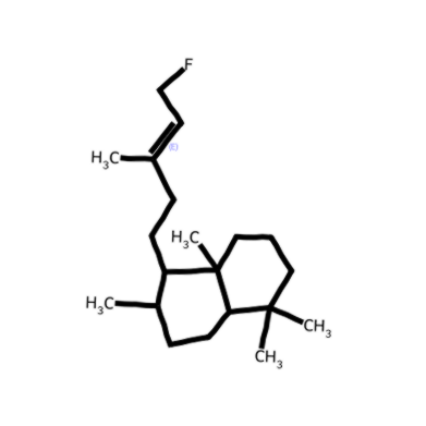 C/C(=C\CF)CCC1C(C)CCC2C(C)(C)CCCC12C